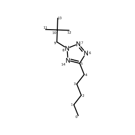 CCCCCc1nnn(CC(C)(C)C)n1